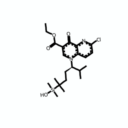 CCOC(=O)c1cn([C@H](CCC(C)(C)[Si](C)(C)O)C(C)C)c2ccc(Cl)nc2c1=O